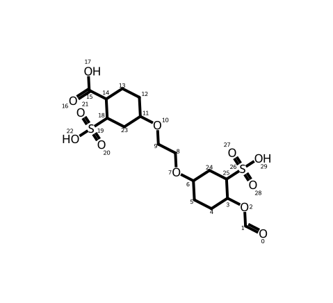 O=COC1CCC(OCCOC2CCC(C(=O)O)C(S(=O)(=O)O)C2)CC1S(=O)(=O)O